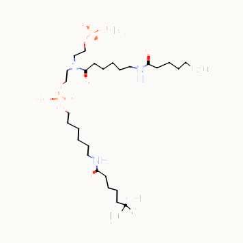 CCC(C)(C)CCCCC(=O)NCCCCCCOP(=O)(O)OCCN(CCOP(=O)(O)OC(C)(C)C)C(=O)CCCCCNC(=O)CCCCC(C)(C)C